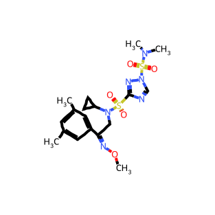 CO/N=C(\CN(C1CC1)S(=O)(=O)c1ncn(S(=O)(=O)N(C)C)n1)c1cc(C)cc(C)c1